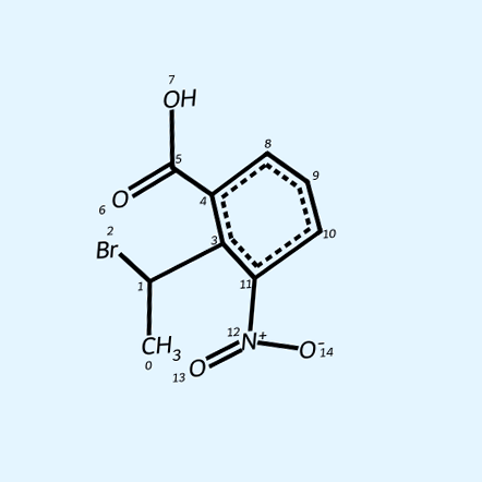 CC(Br)c1c(C(=O)O)cccc1[N+](=O)[O-]